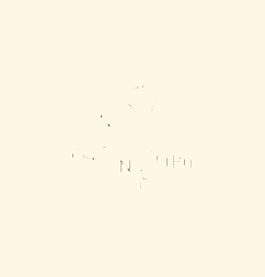 CC(C)(C)OC(=O)N1CCC(=O)C2(CCN(Cc3ccccc3)C2)C1